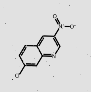 O=[N+]([O-])c1cnc2cc(Cl)ccc2c1